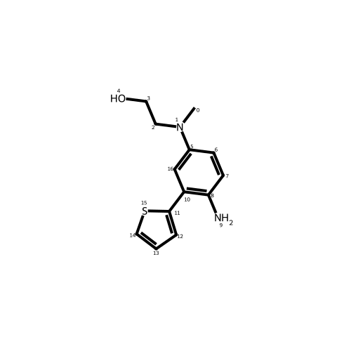 CN(CCO)c1ccc(N)c(-c2cccs2)c1